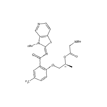 CCCCn1c(=NC(=O)c2cc(C(F)(F)F)ccc2OC[C@H](C)OC(=O)CNC)sc2ccncc21